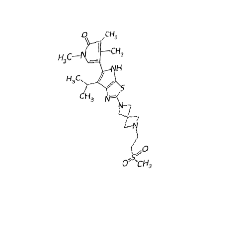 Cc1c(-c2[nH]c3sc(N4CC5(CN(CCS(C)(=O)=O)C5)C4)nc3c2C(C)C)cn(C)c(=O)c1C